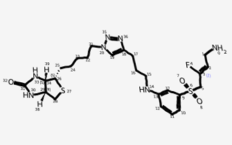 NC/C=C(\F)CS(=O)(=O)c1cccc(NCCCc2cn(CCCCC[C@@H]3SC[C@@H]4NC(=O)N[C@@H]43)nn2)c1